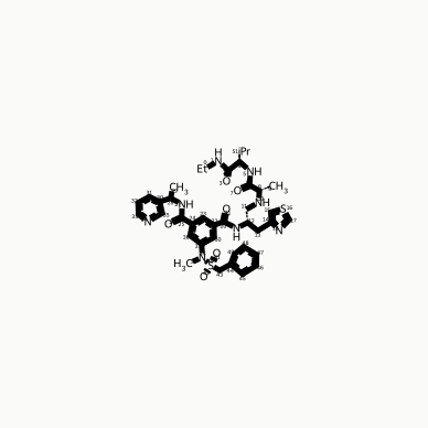 CCNC(=O)[C@@H](NC(=O)[C@H](C)NC[C@H](Cc1cscn1)NC(=O)c1cc(C(=O)NC(C)c2cccnc2)cc(N(C)S(=O)(=O)Cc2ccccc2)c1)C(C)C